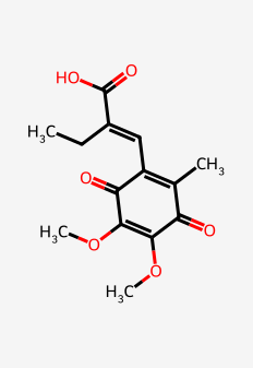 CCC(=CC1=C(C)C(=O)C(OC)=C(OC)C1=O)C(=O)O